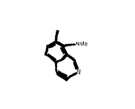 CNc1c(C)ccc2ccncc12